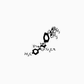 CCOC(=O)c1cn(C2=CCC(O[Si](C)(C)C(C)(C)C)CC2)nc1N(C(=O)C1CCC(C)CC1)C(C)C